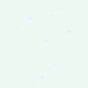 CCCCn1cc(-c2ncc(C(=O)N3CCN(C)CC3)cc2OC)c2cc(C)[nH]c2c1=O